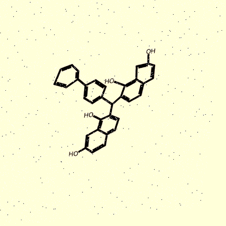 Oc1ccc2ccc(C(c3ccc(-c4ccccc4)cc3)c3ccc4ccc(O)cc4c3O)c(O)c2c1